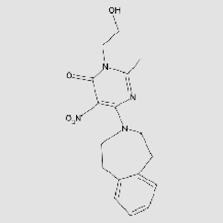 Cc1nc(N2CCc3ccccc3CC2)c([N+](=O)[O-])c(=O)n1CCO